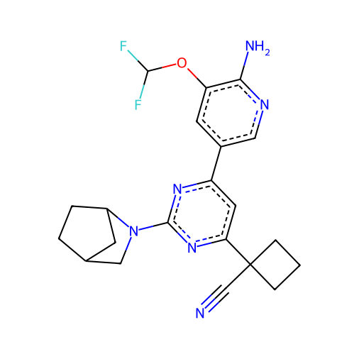 N#CC1(c2cc(-c3cnc(N)c(OC(F)F)c3)nc(N3CC4CCC3C4)n2)CCC1